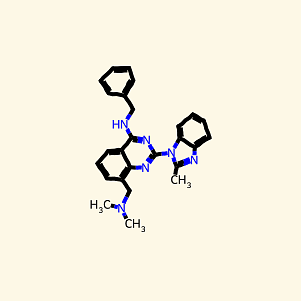 Cc1nc2ccccc2n1-c1nc(NCc2ccccc2)c2cccc(CN(C)C)c2n1